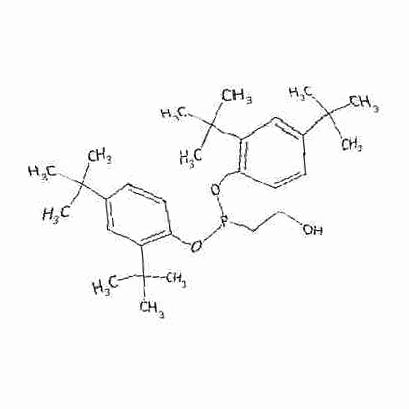 CC(C)(C)c1ccc(OP(CCO)Oc2ccc(C(C)(C)C)cc2C(C)(C)C)c(C(C)(C)C)c1